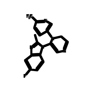 Cc1nc2cc(F)ccc2n1C1=CN=CCN1c1ccc(C(F)(F)F)nc1